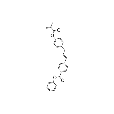 C=C(C)C(=O)Oc1ccc(CC=Cc2ccc(C(=O)Oc3ccccc3)cc2)cc1